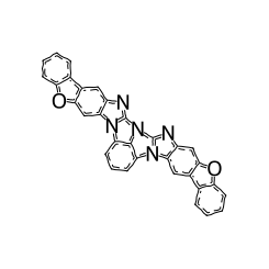 c1ccc2c(c1)oc1cc3c(cc12)nc1n3c2cccc3c2n1c1nc2cc4oc5ccccc5c4cc2n31